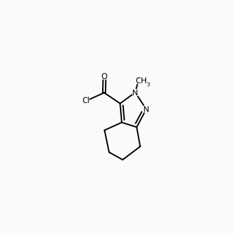 Cn1nc2c(c1C(=O)Cl)CCCC2